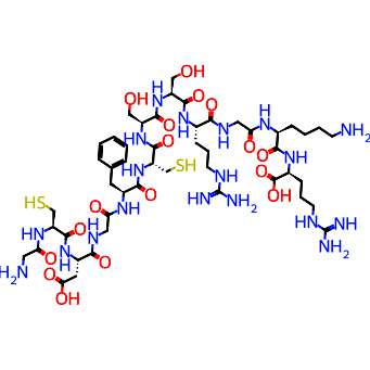 N=C(N)NCCC[C@H](NC(=O)[C@H](CCCCN)NC(=O)CNC(=O)[C@H](CCCNC(=N)N)NC(=O)[C@H](CO)NC(=O)[C@H](CO)NC(=O)[C@H](CS)NC(=O)[C@H](Cc1ccccc1)NC(=O)CNC(=O)[C@H](CC(=O)O)NC(=O)[C@H](CS)NC(=O)CN)C(=O)O